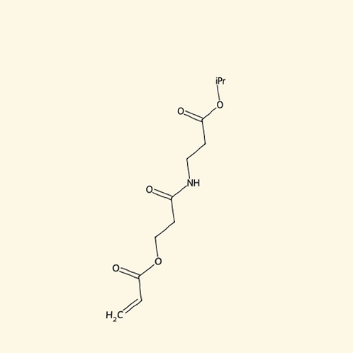 C=CC(=O)OCCC(=O)NCCC(=O)OC(C)C